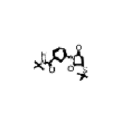 CC(C)(C)NC(=O)c1cccc(N2C(=O)CC(SC(C)(C)C)C2=O)c1